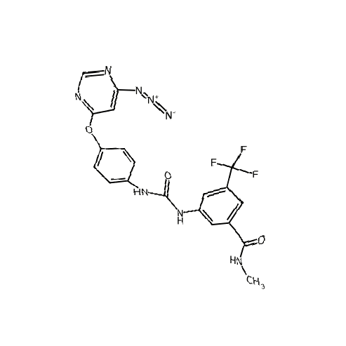 CNC(=O)c1cc(NC(=O)Nc2ccc(Oc3cc(N=[N+]=[N-])ncn3)cc2)cc(C(F)(F)F)c1